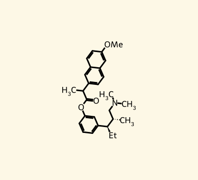 CC[C@@H](c1cccc(OC(=O)C(C)c2ccc3cc(OC)ccc3c2)c1)[C@@H](C)CN(C)C